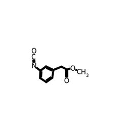 COC(=O)Cc1cccc(N=C=O)c1